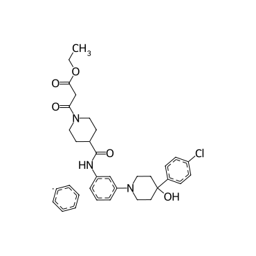 CCOC(=O)CC(=O)N1CCC(C(=O)Nc2cccc(N3CCC(O)(c4ccc(Cl)cc4)CC3)c2)CC1.[c]1ccccc1